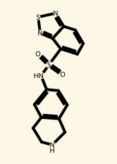 O=S(=O)(Nc1ccc2c(c1)CCNC2)c1cccc2nsnc12